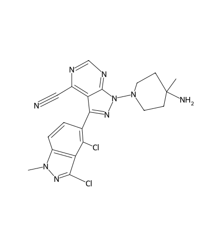 Cn1nc(Cl)c2c(Cl)c(-c3nn(N4CCC(C)(N)CC4)c4ncnc(C#N)c34)ccc21